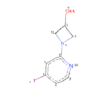 OC1CN(c2cc(I)ccn2)C1